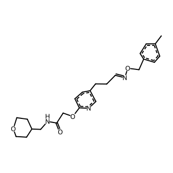 Cc1ccc(CON=CCCc2ccc(OCC(=O)NCC3CCOCC3)nc2)cc1